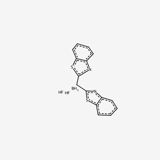 B.F.F.c1ccc2sc(Cc3nc4ccccc4s3)nc2c1